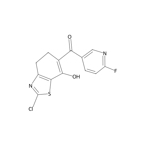 O=C(C1=C(O)c2sc(Cl)nc2CC1)c1ccc(F)nc1